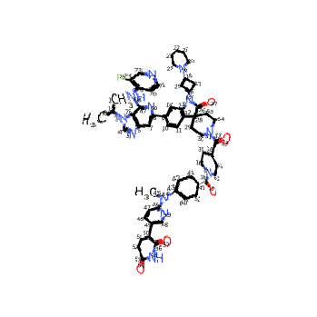 CC(C)n1cnc2cc(-c3ccc4c(c3)N([C@H]3C[C@@H](N5CCCCC5)C3)C(=O)C43CCN(C(=O)C4CCN(C(=O)[C@H]5CC[C@H](N(C)c6ccc(C7CCC(=O)NC7=O)cn6)CC5)CC4)CC3)nc(Nc3ccncc3F)c21